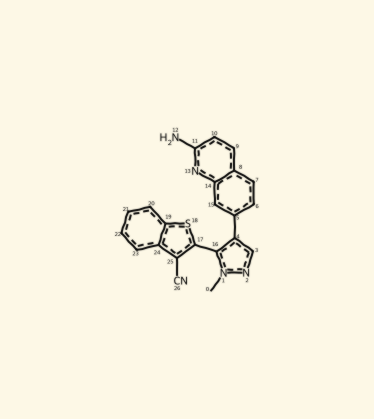 Cn1ncc(-c2ccc3ccc(N)nc3c2)c1-c1sc2ccccc2c1C#N